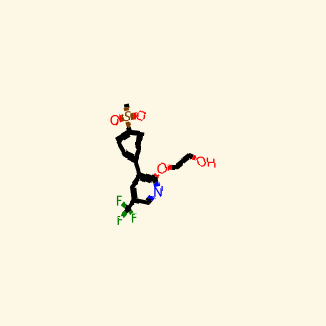 CS(=O)(=O)c1ccc(-c2cc(C(F)(F)F)cnc2OCCO)cc1